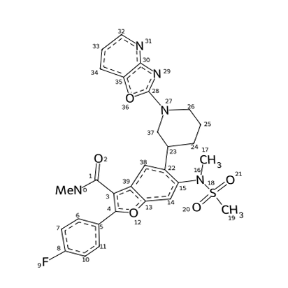 CNC(=O)c1c(-c2ccc(F)cc2)oc2cc(N(C)S(C)(=O)=O)c(C3CCCN(c4nc5ncccc5o4)C3)cc12